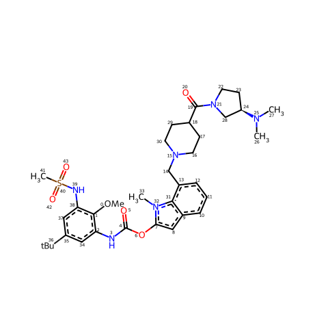 COc1c(NC(=O)Oc2cc3cccc(CN4CCC(C(=O)N5CC[C@@H](N(C)C)C5)CC4)c3n2C)cc(C(C)(C)C)cc1NS(C)(=O)=O